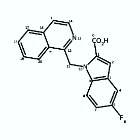 O=C(O)c1cc2cc(F)ccc2n1Cc1nccc2ccccc12